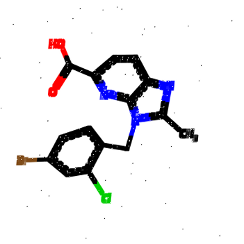 Cc1nc2ccc(C(=O)O)nc2n1Cc1ccc(Br)cc1Cl